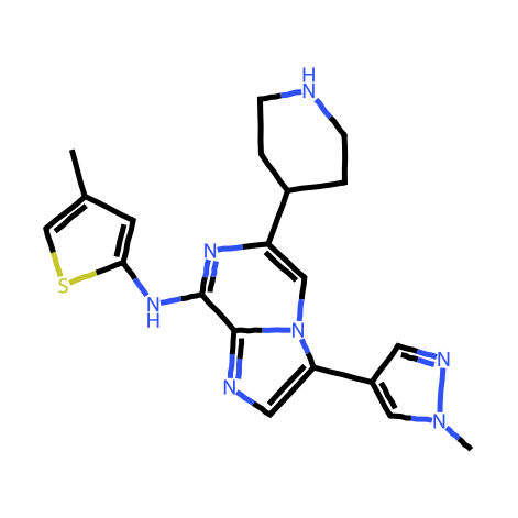 Cc1csc(Nc2nc(C3CCNCC3)cn3c(-c4cnn(C)c4)cnc23)c1